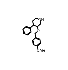 COc1ccc(COC2CNCCC2c2ccccc2)cc1